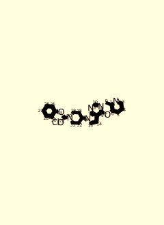 Cc1ncccc1Oc1ncnc2c1ccn2C1CCN(C(=O)Oc2ccccc2Cl)CC1